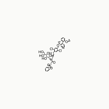 O=C(CCS(=O)(=O)c1ccccc1)N(CCCCc1cc(Cl)c(COC2(c3cnccc3-c3ccccc3OC3CC3)CC2)cc1Cl)CC(O)C(O)C(O)C(O)CO